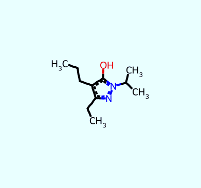 CCCc1c(CC)nn(C(C)C)c1O